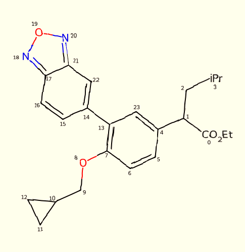 CCOC(=O)C(CC(C)C)c1ccc(OCC2CC2)c(-c2ccc3nonc3c2)c1